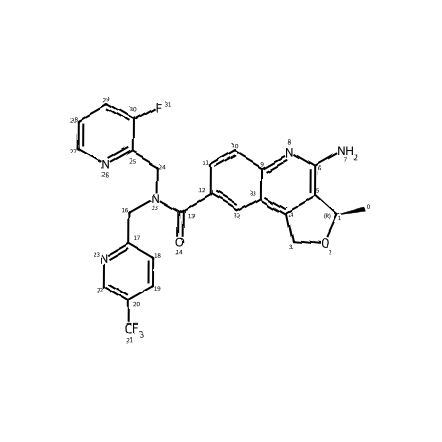 C[C@H]1OCc2c1c(N)nc1ccc(C(=O)N(Cc3ccc(C(F)(F)F)cn3)Cc3ncccc3F)cc21